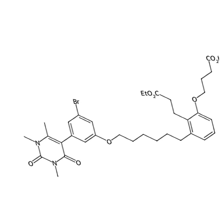 CCOC(=O)CCCOc1cccc(CCCCCCOc2cc(Br)cc(-c3c(C)n(C)c(=O)n(C)c3=O)c2)c1CCC(=O)OCC